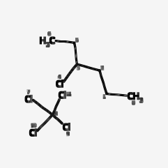 CCCC(Cl)CC.ClC(Cl)(Cl)Cl